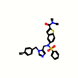 CCN(CC)C(=O)c1cc2cc(N(Cc3cncn3Cc3ccc(C#N)cc3)S(=O)(=O)c3ccccc3)ccc2s1